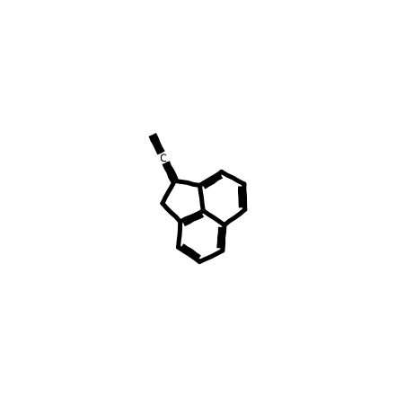 C=C=C1Cc2cccc3cccc1c23